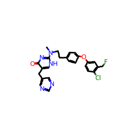 CN(CCc1ccc(Oc2ccc(Cl)c(CF)c2)cc1)c1nc(=O)c(Cc2cncnc2)c[nH]1